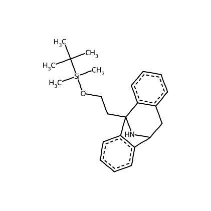 CC(C)(C)[Si](C)(C)OCCC12NC(Cc3ccccc31)c1ccccc12